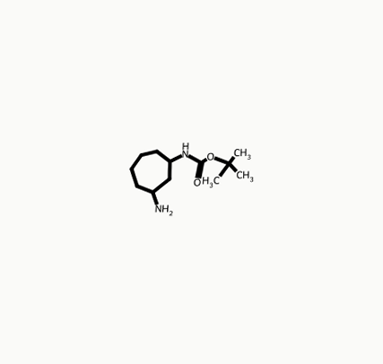 CC(C)(C)OC(=O)NC1CCCCC(N)C1